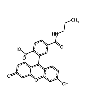 CCCNC(=O)c1ccc(C(=O)O)c(-c2c3ccc(=O)cc-3oc3cc(O)ccc23)c1